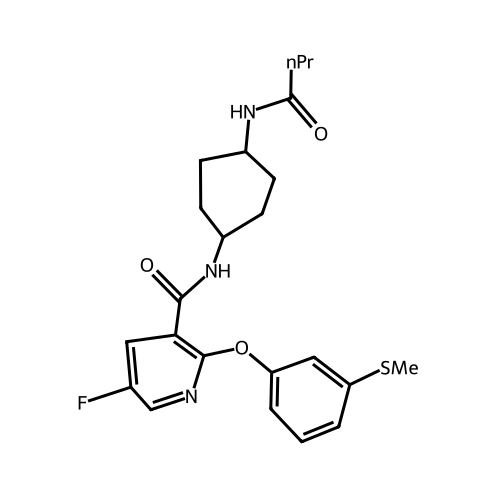 CCCC(=O)NC1CCC(NC(=O)c2cc(F)cnc2Oc2cccc(SC)c2)CC1